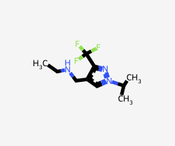 CCNCc1cn(C(C)C)nc1C(F)(F)F